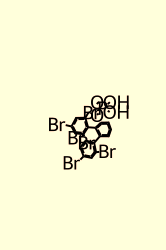 O=P(O)(O)Oc1cccc(-c2c(Br)cc(Br)cc2Br)c1-c1c(Br)cc(Br)cc1Br